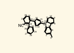 Cc1ccc2c(c1)c1ccccc1n2-c1ccc(-c2cccc(C#N)c2-c2ccccc2)cc1